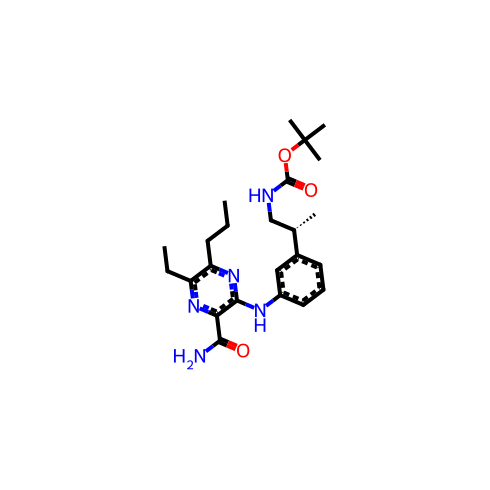 CCCc1nc(Nc2cccc([C@@H](C)CNC(=O)OC(C)(C)C)c2)c(C(N)=O)nc1CC